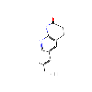 CC(=Cc1cnc2c(c1)CCC(=O)N2)C(=O)O.Cl